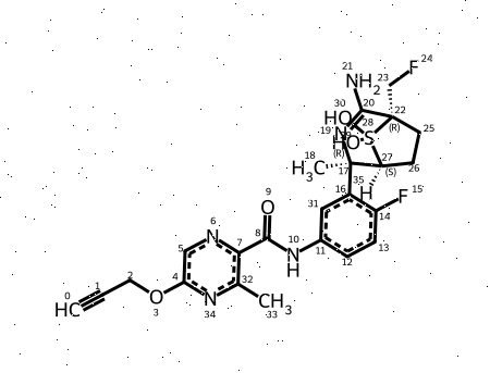 C#CCOc1cnc(C(=O)Nc2ccc(F)c([C@@]3(C)N=C(N)[C@@]4(CF)CC[C@@H]3S4(O)O)c2)c(C)n1